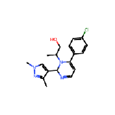 Cc1nn(C)cc1C1N=CC=C(c2ccc(Cl)cc2)N1[C@@H](C)CO